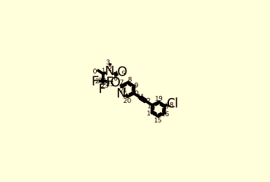 CC(N(C)C(=O)Oc1ccc(C#Cc2cccc(Cl)c2)cn1)C(F)(F)F